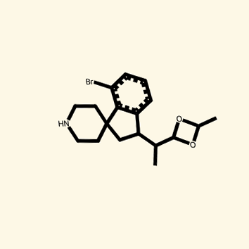 CC1OC(C(C)C2CC3(CCNCC3)c3c(Br)cccc32)O1